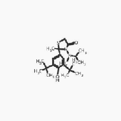 CC(C)N(C)N1C(=O)CSC1(C)c1cc(C(C)(C)C)c(O)c(C(C)(C)C)c1